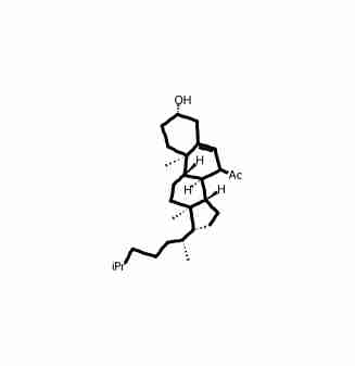 CC(=O)C1C=C2C[C@@H](O)CC[C@]2(C)[C@H]2CC[C@]3(C)[C@@H]([C@H](C)CCCC(C)C)CC[C@H]3[C@H]12